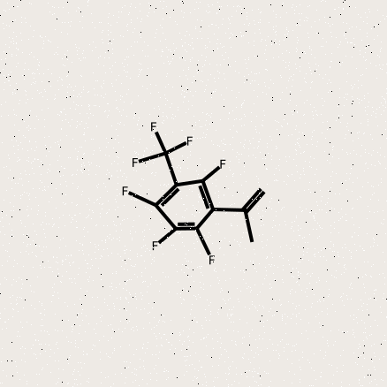 C=C(C)c1c(F)c(F)c(F)c(C(F)(F)F)c1F